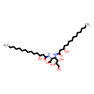 CCCCCCCCCCC[C@@H](O)CC(=O)N[C@@H]([C@H](O)[C@H](O)CO)[C@H](C=O)NC(=O)C[C@H](O)CCCCCCCCCCC